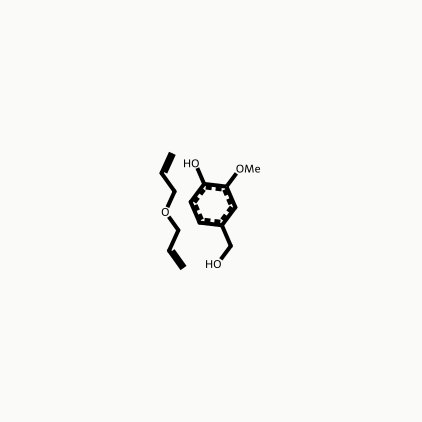 C=CCOCC=C.COc1cc(CO)ccc1O